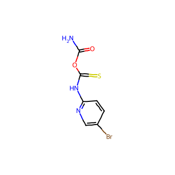 NC(=O)OC(=S)Nc1ccc(Br)cn1